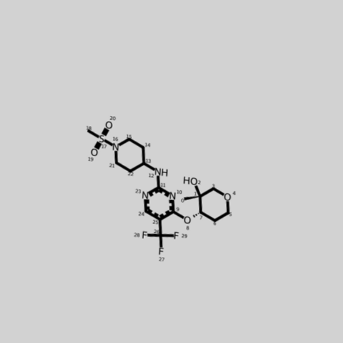 C[C@@]1(O)COCC[C@@H]1Oc1nc(NC2CCN(S(C)(=O)=O)CC2)ncc1C(F)(F)F